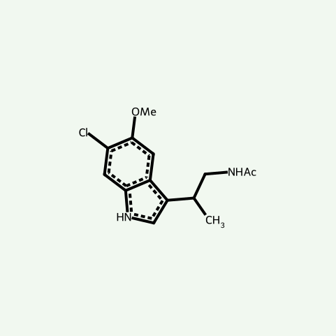 COc1cc2c(C(C)CNC(C)=O)c[nH]c2cc1Cl